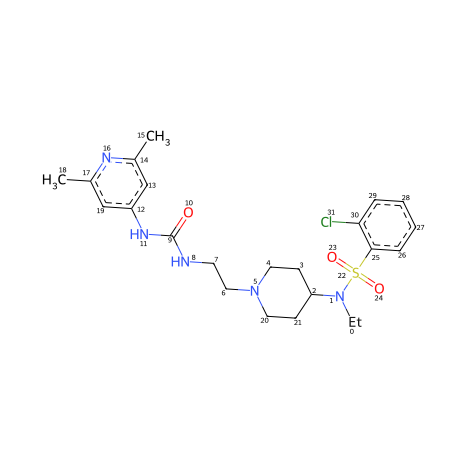 CCN(C1CCN(CCNC(=O)Nc2cc(C)nc(C)c2)CC1)S(=O)(=O)c1ccccc1Cl